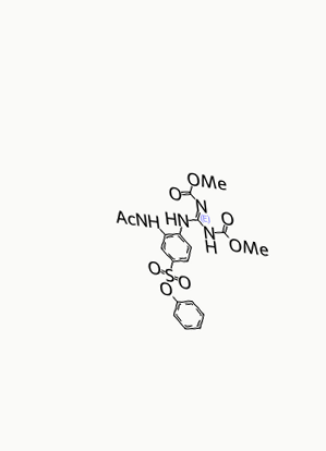 COC(=O)/N=C(/NC(=O)OC)Nc1ccc(S(=O)(=O)Oc2ccccc2)cc1NC(C)=O